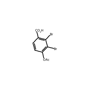 CC(=O)Oc1ccc(C(=O)O)c(Br)c1Br